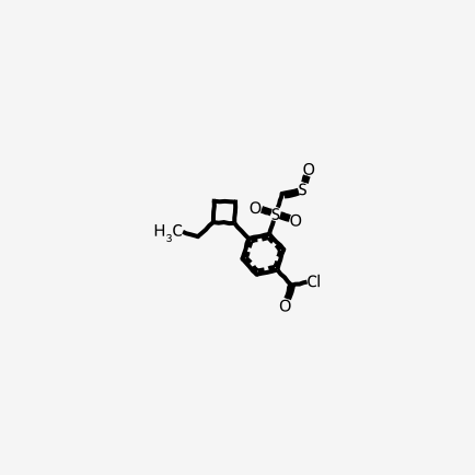 CCC1CCC1c1ccc(C(=O)Cl)cc1S(=O)(=O)C=S=O